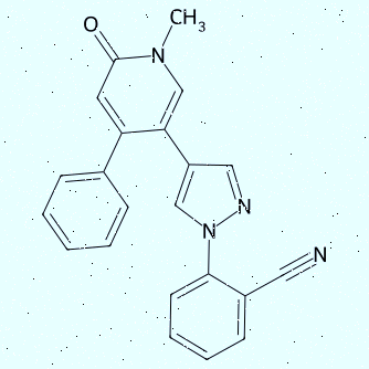 Cn1cc(-c2cnn(-c3ccccc3C#N)c2)c(-c2ccccc2)cc1=O